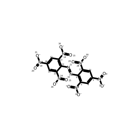 O=[N+]([O-])c1cc([N+](=O)[O-])c(/N=N/c2c([N+](=O)[O-])cc([N+](=O)[O-])cc2[N+](=O)[O-])c([N+](=O)[O-])c1